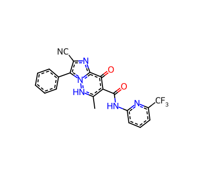 Cc1[nH]n2c(-c3ccccc3)c(C#N)nc2c(=O)c1C(=O)Nc1cccc(C(F)(F)F)n1